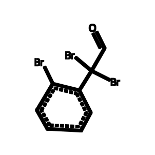 O=CC(Br)(Br)c1ccccc1Br